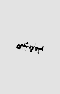 Bc1ccccc1C(=C)/C=C(/CNc1nc(C)cc(Nc2cc(C3CC3)[nH]n2)n1)OCC